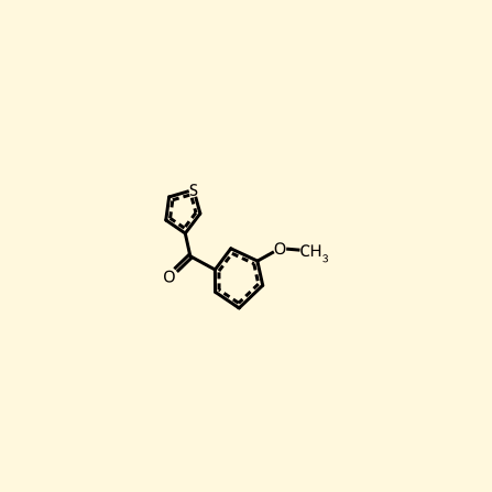 COc1cccc(C(=O)c2ccsc2)c1